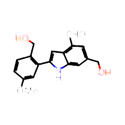 COc1ccc(CO)c(-c2cc3c(C=O)cc(CO)cc3[nH]2)c1